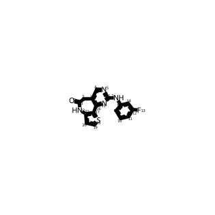 O=C1Cc2cnc(Nc3cccc(F)c3)nc2-c2sccc2N1